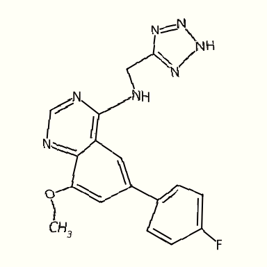 COc1cc(-c2ccc(F)cc2)cc2c(NCc3nn[nH]n3)ncnc12